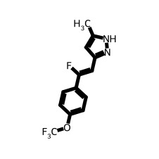 Cc1cc(C=C(F)c2ccc(OC(F)(F)F)cc2)n[nH]1